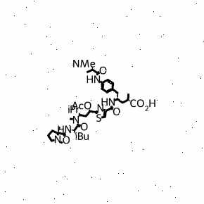 CC[C@H](C)[C@H](NC(=O)[C@@]1(C)CCCN1C)C(=O)N(C)[C@H](C[C@@H](OC(C)=O)c1nc(C(=O)N[C@@H](Cc2ccc(NC(=O)[C@H](C)NC)cc2)C[C@H](C)C(=O)O)cs1)C(C)C